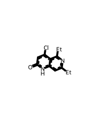 CCc1cc2[nH]c(=O)cc(Cl)c2c(CC)n1